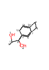 CC(O)C(O)C1=C=C2CCC2=CC1